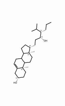 CCC[C@@H](C(C)C)[C@H](O)CC[C@H]1CCC2C3CC=C4C[C@@H](O)CC[C@]4(C)C3CC[C@@]21C